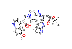 COc1ccc2nccc([C@@H](O)CN3CCC(NC(CC(=O)OC(C)(C)C)c4cc5cccnc5[nH]4)CC3)c2c1